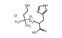 C[N+](C)(C)CCO.NC(Cc1c[nH]cn1)C(=O)O.[Cl-]